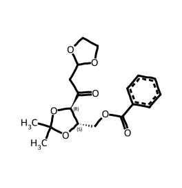 CC1(C)O[C@@H](COC(=O)c2ccccc2)[C@H](C(=O)CC2OCCO2)O1